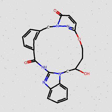 O=C1Nc2nc3ccccc3n2CC(O)CCOc2ccc(=O)n(n2)Cc2cccc1c2